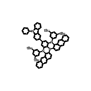 CC(C)(C)c1cc(N2c3cc(-c4ccc5c(c4)c4ccccc4n5-c4ccccc4)cc4c3B(c3ccc5cc6ccccc6cc5c32)c2ccc3cc5ccccc5cc3c2N4c2cc(C(C)(C)C)cc(C(C)(C)C)c2)cc(C(C)(C)C)c1